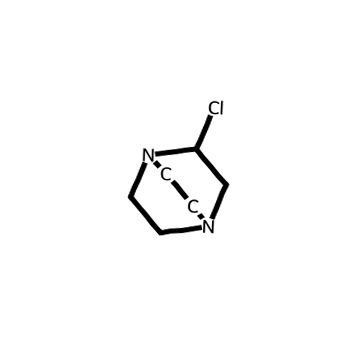 ClC1CN2CCN1CC2